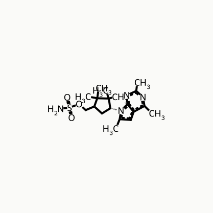 Cc1nc(C)c2cc(C)n([C@@H]3CC(COS(N)(=O)=O)C(C)(C)C3(C)C)c2n1